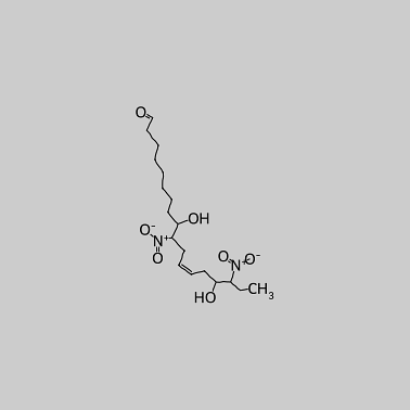 CCC(C(O)C/C=C\CC(C(O)CCCCCCCC=O)[N+](=O)[O-])[N+](=O)[O-]